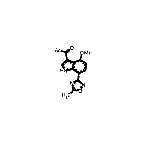 COc1ccc(-c2noc(C)n2)c2[nH]cc(C(=O)C(C)=O)c12